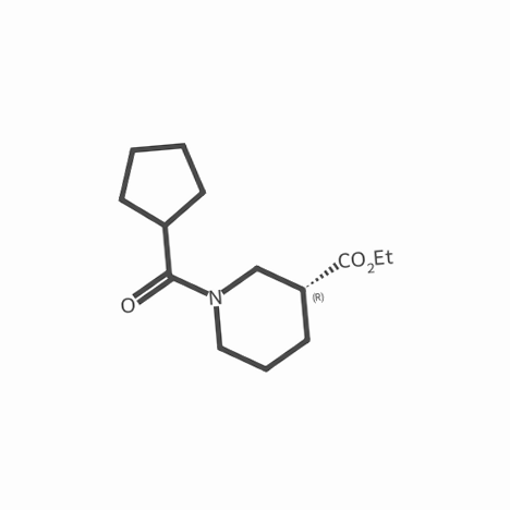 CCOC(=O)[C@@H]1CCCN(C(=O)C2CCCC2)C1